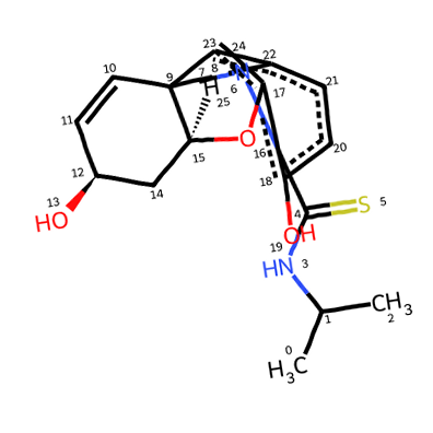 CC(C)NC(=S)N1CCC23C=C[C@H](O)C[C@@H]2Oc2c(O)ccc(c23)C1